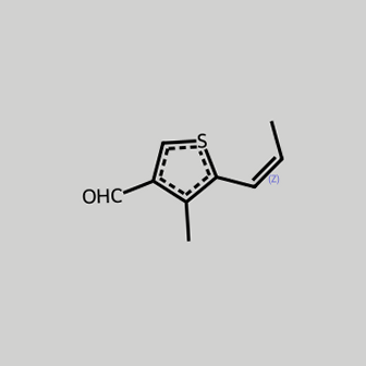 C/C=C\c1scc(C=O)c1C